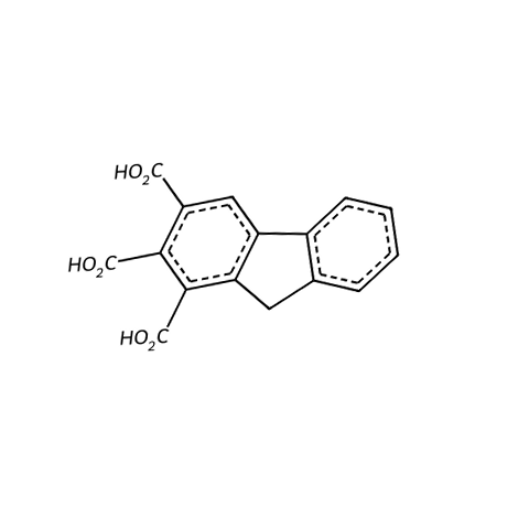 O=C(O)c1cc2c(c(C(=O)O)c1C(=O)O)Cc1ccccc1-2